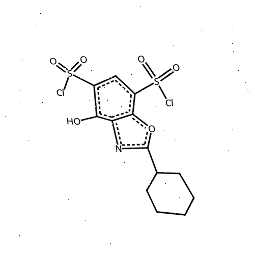 O=S(=O)(Cl)c1cc(S(=O)(=O)Cl)c2oc(C3CCCCC3)nc2c1O